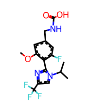 COc1cc(CNC(=O)O)cc(F)c1-c1nc(C(F)(F)F)cn1C(C)C